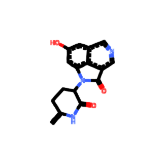 C=C1CCC(N2C(=O)c3cncc4cc(O)cc2c34)C(=O)N1